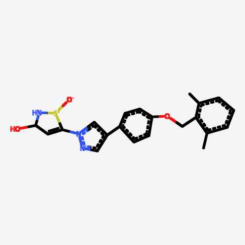 Cc1cccc(C)c1COc1ccc(-c2cnn(C3=CC(O)N[S+]3[O-])c2)cc1